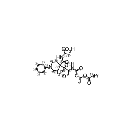 CC(OC(=O)NC(C)C(O)([PH2]=O)C1(C(=O)NC(C)C(=O)O)CCN(c2ccccc2)CC1)OC(=O)C(C)C